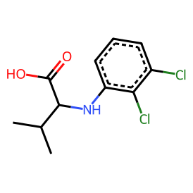 CC(C)C(Nc1cccc(Cl)c1Cl)C(=O)O